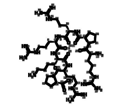 N=C(N)NCCC[C@H](NC(=O)[C@H](CCCNC(=N)N)NC(=O)[C@@H]1CCCN1C(=O)[C@@H](N)CCCNC(=N)N)C(=O)N[C@@H](CCCCN)C(=O)N[C@@H](CCCNC(=N)N)C(=O)N1CCC[C@H]1C(=O)O